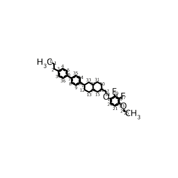 CCCc1ccc(-c2ccc(C3CCC4CC(COc5ccc(OCC)c(F)c5F)CCC4C3)cc2)cc1